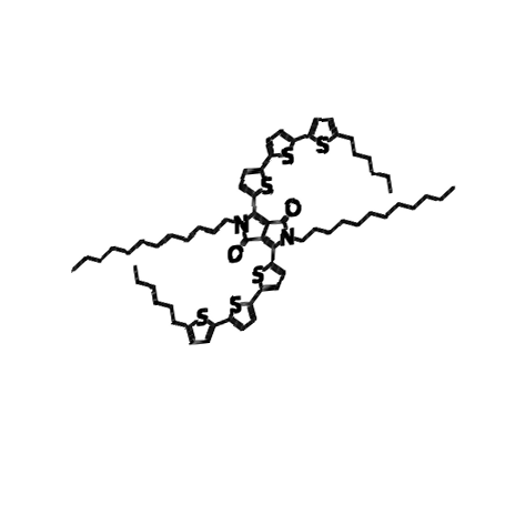 CCCCCCCCCCCCN1C(=O)C2=C(c3ccc(-c4ccc(-c5ccc(CCCCCC)s5)s4)s3)N(CCCCCCCCCCCC)C(=O)C2=C1c1ccc(-c2ccc(-c3ccc(CCCCCC)s3)s2)s1